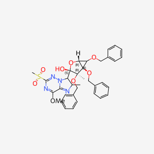 COC1=NC(S(C)(=O)=O)=NN2C1=NC(C)C2[C@]1(O)O[C@@H]2C(OCc3ccccc3)[C@]2(OCc2ccccc2)[C@@]1(C)OCc1ccccc1